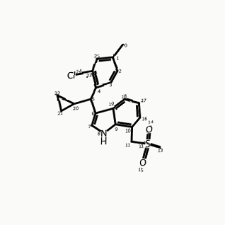 Cc1ccc(C(c2c[nH]c3c(CS(C)(=O)=O)cccc23)C2CC2)c(Cl)c1